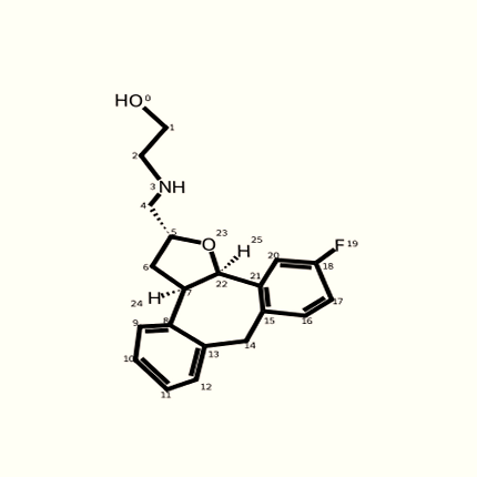 OCCNC[C@H]1C[C@@H]2c3ccccc3Cc3ccc(F)cc3[C@@H]2O1